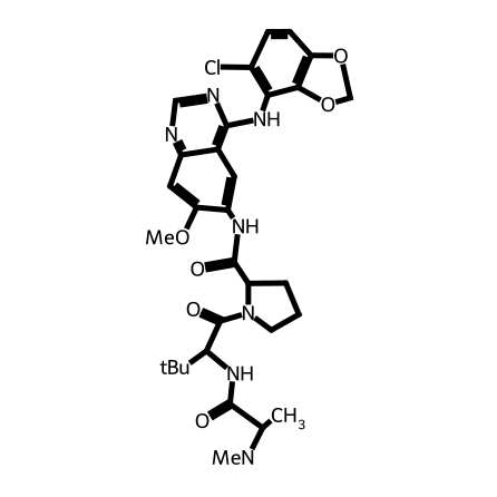 CNC(C)C(=O)NC(C(=O)N1CCCC1C(=O)Nc1cc2c(Nc3c(Cl)ccc4c3OCO4)ncnc2cc1OC)C(C)(C)C